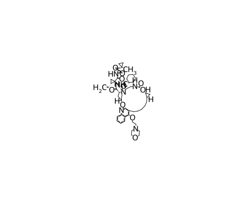 C=C[C@@H]1C[C@]1(NC(=O)[C@@H]1C[C@@H]2CN1C(=O)[C@H](C1(C)CCCCC1)NC(=O)O[C@@H]1C[C@H]1CCCCCc1c(nc3ccccc3c1OCCN1CCOCC1)O2)C(=O)NS(=O)(=O)C1(C)CC1